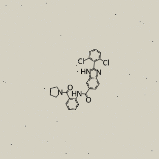 O=C(Nc1ccccc1C(=O)N1CCCC1)c1ccc2nc(-c3c(Cl)cccc3Cl)[nH]c2c1